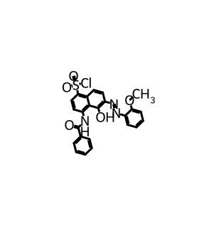 COc1ccccc1N=Nc1ccc2c(S(=O)(=O)Cl)ccc(NC(=O)c3ccccc3)c2c1O